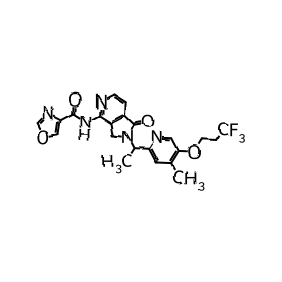 Cc1cc(C(C)N2Cc3c(ccnc3NC(=O)c3cocn3)C2=O)ncc1OCCC(F)(F)F